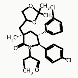 CCC(C=O)N1C(=O)[C@@](C)(CC2COC(C)(C)O2)C[C@H](c2cccc(Cl)c2)[C@H]1c1ccc(Cl)cc1